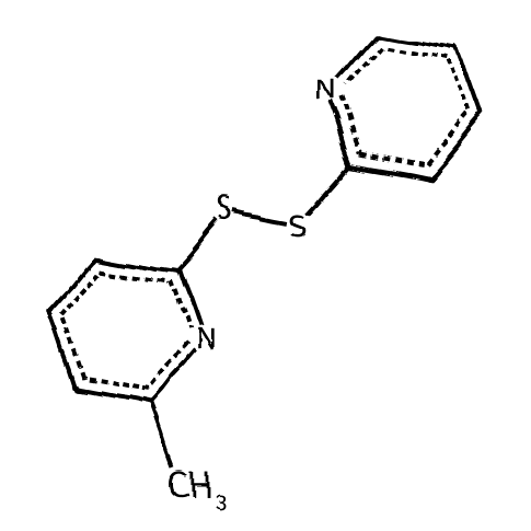 Cc1cccc(SSc2ccccn2)n1